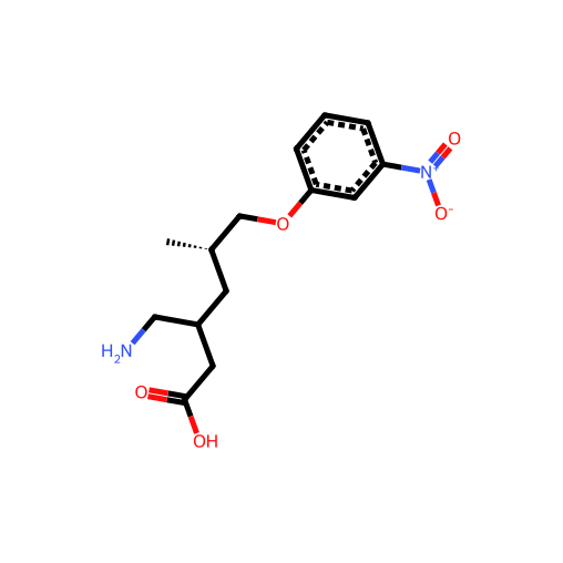 C[C@H](COc1cccc([N+](=O)[O-])c1)CC(CN)CC(=O)O